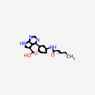 CC/C=C/C(=O)Nc1cccc(-c2ncnc3[nH]cc(C(=O)O)c23)c1